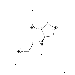 OCCN[C@@H]1CNC[C@H]1O